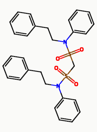 O=S(=O)(CS(=O)(=O)N(CCc1ccccc1)c1ccccc1)N(CCc1ccccc1)c1ccccc1